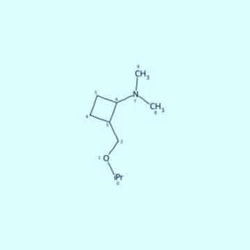 CC(C)OCC1CCC1N(C)C